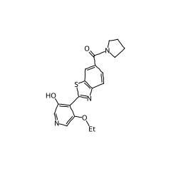 CCOc1cncc(O)c1-c1nc2ccc(C(=O)N3CCCC3)cc2s1